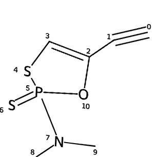 C#CC1=CSP(=S)(N(C)C)O1